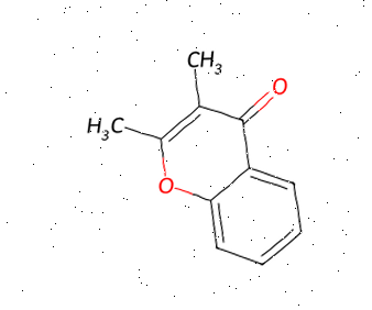 Cc1oc2ccccc2c(=O)c1C